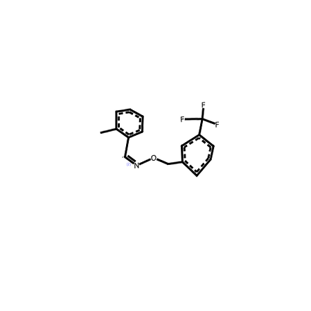 Cc1ccccc1/[C]=N\OCc1cccc(C(F)(F)F)c1